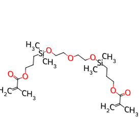 C=C(C)C(=O)OCCC[Si](C)(C)OCCOCCO[Si](C)(C)CCCOC(=O)C(=C)C